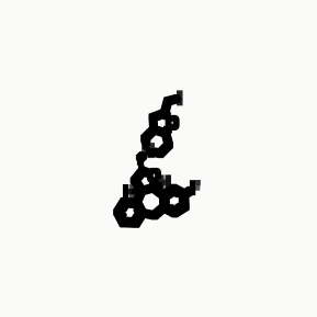 Fc1ccc2c(c1)[C@@H]1O[C@@H](CN3CCC4OC(CI)CC4C3)C[C@@H]1c1ccccc1C2